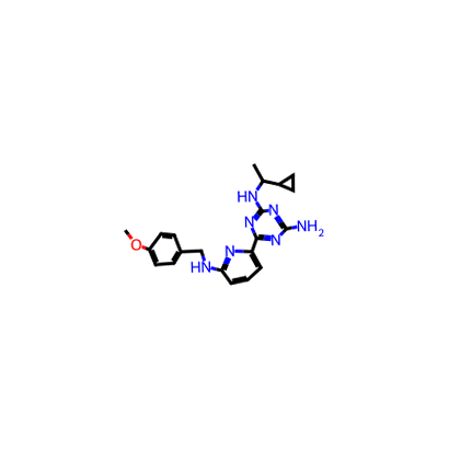 COc1ccc(CNc2cccc(-c3nc(N)nc(NC(C)C4CC4)n3)n2)cc1